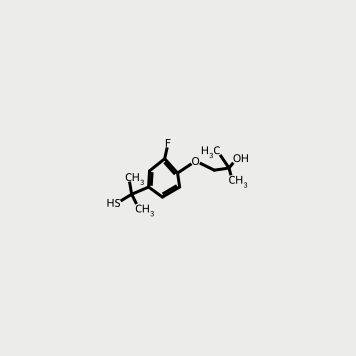 CC(C)(O)COc1ccc(C(C)(C)S)cc1F